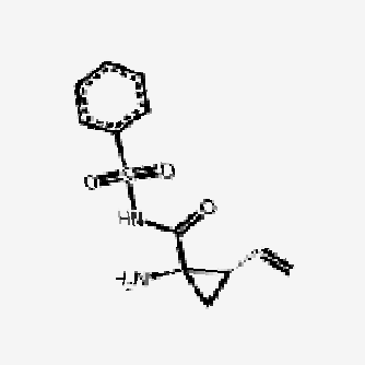 C=C[C@@H]1C[C@]1(N)C(=O)NS(=O)(=O)c1ccccc1